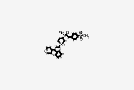 CCN(C(=O)Cc1ccc(S(C)(=O)=O)cc1)C1CCN(CC[C@@H](c2ccccc2)C2CCOCC2)CC1